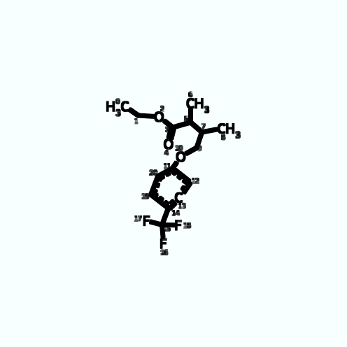 CCOC(=O)C(C)C(C)COc1ccc(C(F)(F)F)cc1